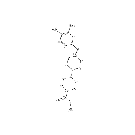 CNc1cc(CN2CCN(C3CCN(C(=O)OC(C)(C)C)CC3)CC2)ccc1[N+](=O)[O-]